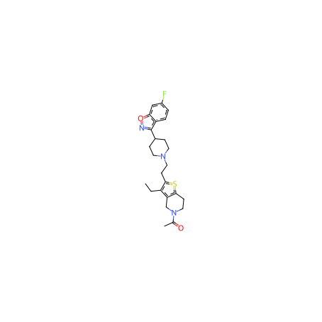 CCc1c(CCN2CCC(c3noc4cc(F)ccc34)CC2)sc2c1CN(C(C)=O)CC2